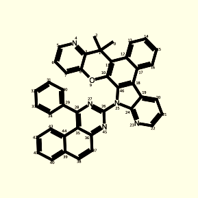 CC1(C)c2ncccc2Oc2c1c1ccccc1c1c3cccnc3n(-c3nc(-c4ccccc4)c4c(ccc5ccccc54)n3)c21